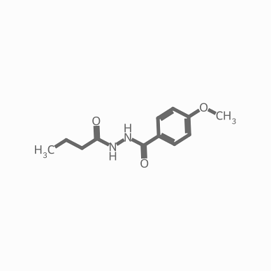 CCCC(=O)NNC(=O)c1ccc(OC)cc1